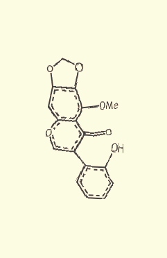 COc1c2c(cc3occ(-c4ccccc4O)c(=O)c13)OCO2